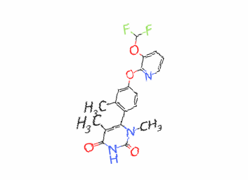 Cc1cc(Oc2ncccc2OC(F)F)ccc1-c1c(C)c(=O)[nH]c(=O)n1C